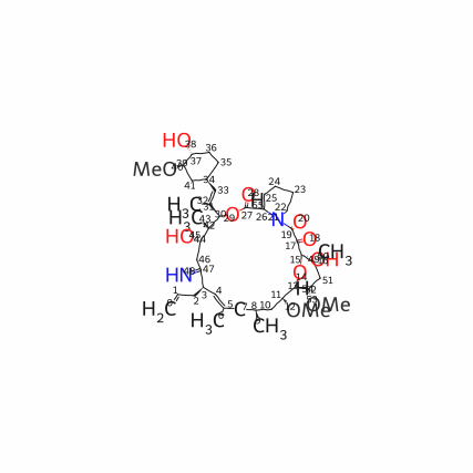 C=CC[C@@H]1/C=C(\C)C[C@H](C)C[C@H](OC)[C@H]2O[C@@](O)(C(=O)C(=O)N3CCCC[C@H]3C(=O)O[C@H](/C(C)=C/[C@@H]3CC[C@@H](O)[C@H](OC)C3)[C@H](C)[C@@H](O)CC1=N)[C@H](C)C[C@@H]2OC